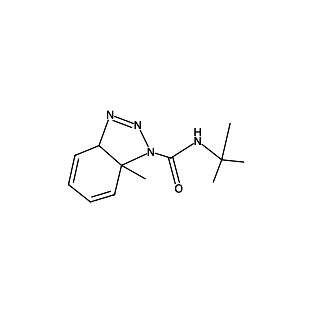 CC(C)(C)NC(=O)N1N=NC2C=CC=CC21C